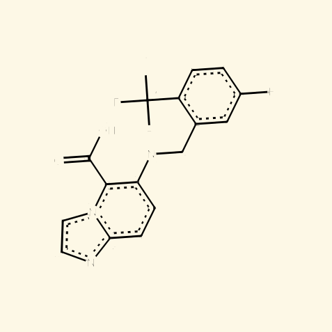 O=C(O)c1c(NCc2cc(F)ccc2C(F)(F)F)ccc2nccn12